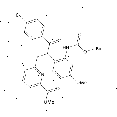 COC(=O)c1cccc(CC(C(=O)c2ccc(Cl)cc2)c2ccc(OC)cc2NC(=O)OC(C)(C)C)n1